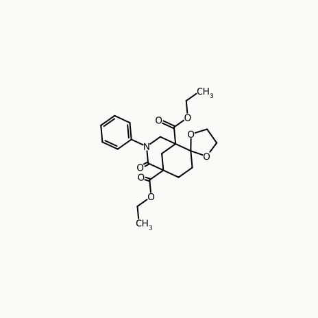 CCOC(=O)C12CCC3(OCCO3)C(C(=O)OCC)(CN(c3ccccc3)C1=O)C2